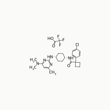 Cc1cc(N(C)C)nc(N[C@H]2CC[C@@H](NC(=O)C3(c4ccc(Cl)cc4)CCC3)CC2)n1.O=C(O)C(F)(F)F